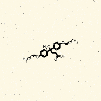 C=C=COc1ccc(C(C)(CCC(=O)O)c2ccc(OC=C=C)cc2)cc1